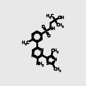 Cc1nc(C)c(-c2nc(-c3cc(S(=O)(=O)NCC(C)(C)O)ccc3C)cnc2N)s1